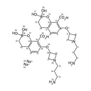 NCCCN1CC(Oc2ccc3c(c2C(=O)O)O[B-](O)(O)CC3)C1.NCCCN1CC(Oc2ccc3c(c2C(=O)O)O[B-](O)(O)CC3)C1.[Na+].[Na+]